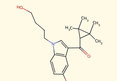 CC1(C)C(C(=O)c2cn(CCCCO)c3ccc(O)cc23)C1(C)C